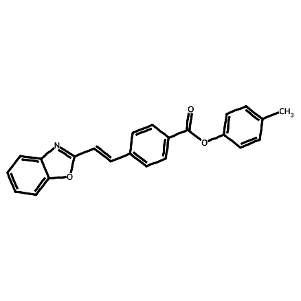 Cc1ccc(OC(=O)c2ccc(C=Cc3nc4ccccc4o3)cc2)cc1